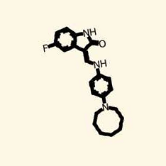 O=C1Nc2ccc(F)cc2C1=CNc1ccc(N2CCCCCCC2)cc1